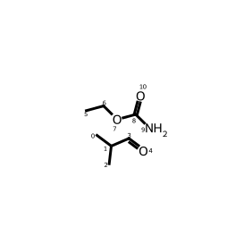 CC(C)C=O.CCOC(N)=O